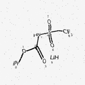 CC(C)OC(=O)NS(=O)(=O)C(F)(F)F.[LiH]